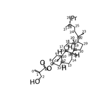 C=C(CO)C(=O)O[C@H]1CC[C@@]2(C)[C@@H](CC[C@@H]3[C@@H]2CC[C@]2(C)C([C@H](C)CC[C@@H](C)C(C)C)CC[C@@H]32)C1